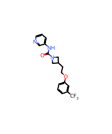 O=C(Nc1cccnc1)N1CC(CCOc2cccc(C(F)(F)F)c2)C1